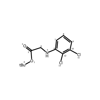 CC(C)(C)OC(=O)CNc1cccc(Cl)c1Cl